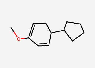 COC1=CCC(C2CCCC2)C=C1